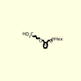 CCCCCCOCC1C2CCC(O2)C1COCCCCC(=O)O